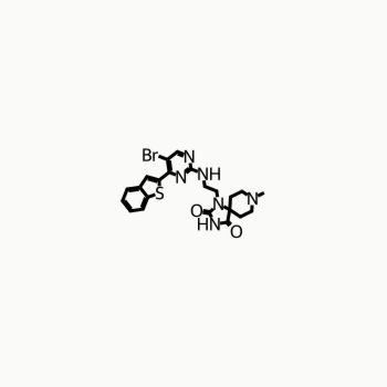 CN1CCC2(CC1)C(=O)NC(=O)N2CCNc1ncc(Br)c(-c2cc3ccccc3s2)n1